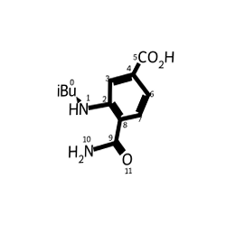 CC[C@H](C)Nc1cc(C(=O)O)ccc1C(N)=O